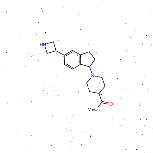 COC(=O)C1CCN(C2CCc3cc(C4CNC4)ccc32)CC1